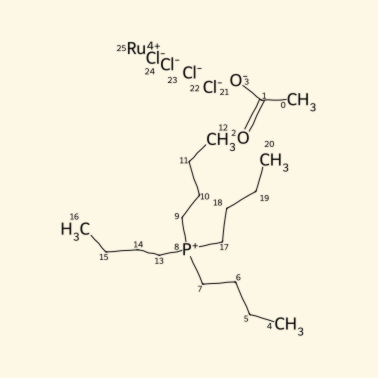 CC(=O)[O-].CCCC[P+](CCCC)(CCCC)CCCC.[Cl-].[Cl-].[Cl-].[Cl-].[Ru+4]